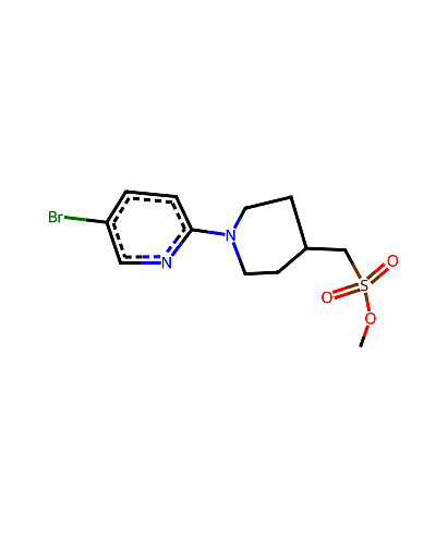 COS(=O)(=O)CC1CCN(c2ccc(Br)cn2)CC1